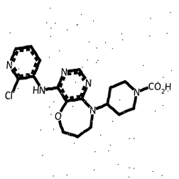 O=C(O)N1CCC(N2CCCOc3c(Nc4cccnc4Cl)ncnc32)CC1